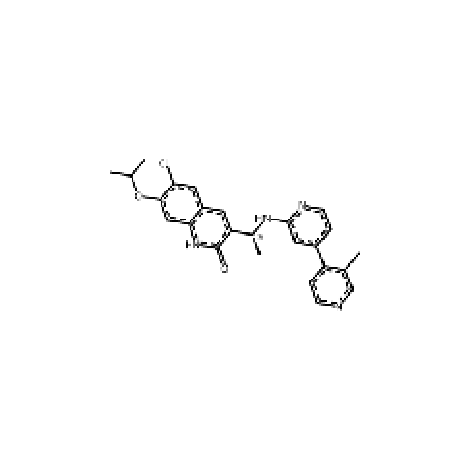 Cc1cnccc1-c1ccnc(N[C@@H](C)c2cc3cc(Cl)c(OC(C)C)cc3[nH]c2=O)c1